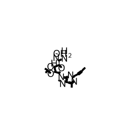 CC#Cc1nc(C)c2ncn([C@@H]3O[C@H](/C(N)=N/O)[C@@H]4OC(C)(C)OC43)c2n1